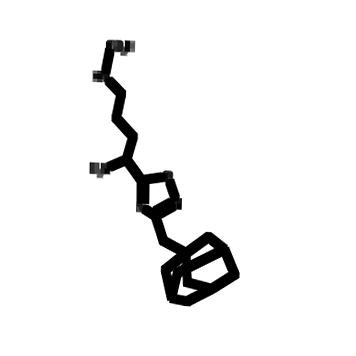 NC(CCCNC(=O)O)c1nc(CC23CC4CC(CC(C4)C2)C3)no1